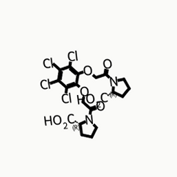 O=C(O)[C@H]1CCCN1C(=O)COc1c(Cl)c(Cl)c(Cl)c(Cl)c1OCC(=O)N1CCC[C@@H]1C(=O)O